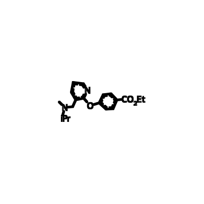 CCOC(=O)c1ccc(Oc2ncccc2CN(C)C(C)C)cc1